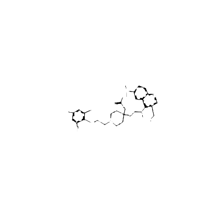 COc1ccc2ncc(CO)c(C(F)CCC3(CC(=O)O)CCN(CCSc4c(F)cc(F)cc4F)CC3)c2c1